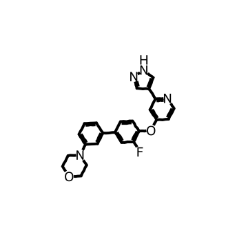 Fc1cc(-c2cccc(N3CCOCC3)c2)ccc1Oc1ccnc(-c2cn[nH]c2)c1